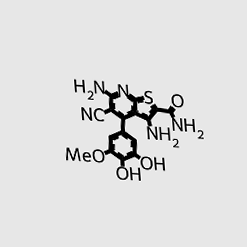 COc1cc(-c2c(C#N)c(N)nc3sc(C(N)=O)c(N)c23)cc(O)c1O